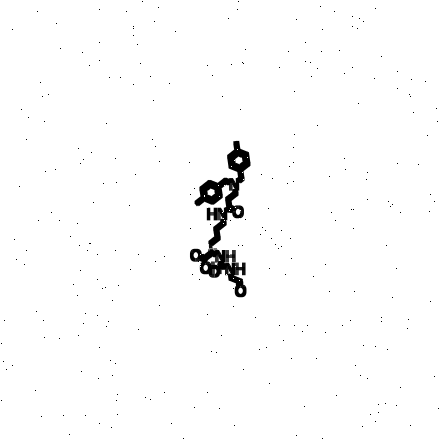 Cc1ccc(CN(CCC(=O)NCCCC[C@H](NC(=O)NCC=O)C(=O)O)Cc2ccc(C)cc2)cc1